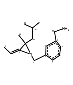 CC=C1N(Cc2cccc(CN)c2)C1(C)CC(C)C